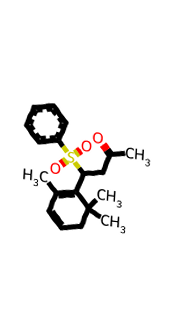 CC(=O)CC(C1=C(C)C=CCC1(C)C)S(=O)(=O)c1ccccc1